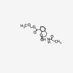 CCC(=O)N[C@H]1Cc2cccc(C(=O)OCOC)c2OB1O